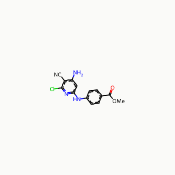 COC(=O)c1ccc(Nc2cc(N)c(C#N)c(Cl)n2)cc1